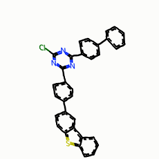 Clc1nc(-c2ccc(-c3ccccc3)cc2)nc(-c2ccc(-c3ccc4sc5ccccc5c4c3)cc2)n1